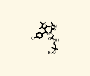 CCOC(C)(C)CCNC(=O)C[C@@H]1N=C(c2ccc(Cl)cc2)c2c(sc(C)c2C)-n2c(C)nnc21